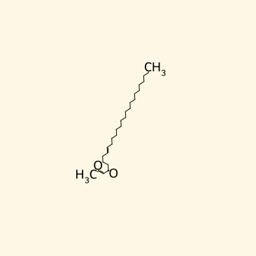 CCCCCCCCCCCCCCCCCCC=CCC1CC(=O)C=C(C)O1